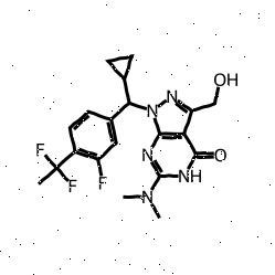 CN(C)c1nc2c(c(CO)nn2C(c2ccc(C(C)(F)F)c(F)c2)C2CC2)c(=O)[nH]1